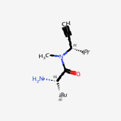 C#C[C@H](C(C)C)N(C)C(=O)[C@@H](N)[C@@H](C)CC